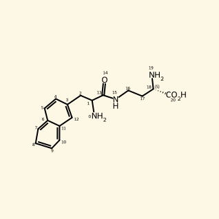 NC(Cc1ccc2ccccc2c1)C(=O)NCC[C@H](N)C(=O)O